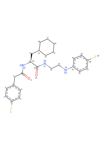 O=C(Cc1ccc(F)cc1)N[C@@H](CC1CCCCC1)C(=O)NCCNc1ccc(F)cc1